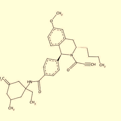 C#CC(=O)N1[C@@H](CCCC)Cc2cc(OC)ccc2[C@@H]1c1ccc(C(=O)NC2(CC)CC(=C)CC(C)C2)cc1